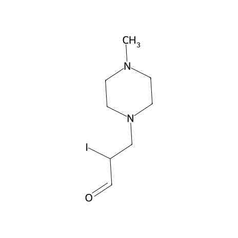 CN1CCN(CC(I)C=O)CC1